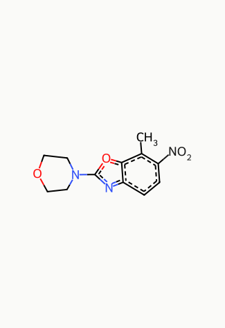 Cc1c([N+](=O)[O-])ccc2nc(N3CCOCC3)oc12